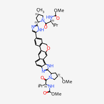 COC[C@H]1CC(c2nc3ccc4cc5c(cc4c3[nH]2)OCc2cc(-c3cnc([C@@H]4C[C@H](C)CN4C(=O)[C@@H](NC(=O)OC)C(C)C)[nH]3)ccc2-5)N(C(=O)[C@@H](NC(=O)OC)C(C)C)C1